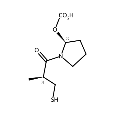 C[C@H](CS)C(=O)N1CCC[C@@H]1OC(=O)O